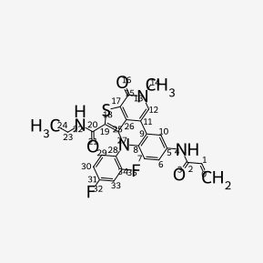 C=CC(=O)Nc1ccc2c(c1)-c1cn(C)c(=O)c3sc(C(=O)NCC)c(c13)N2c1ccc(F)cc1F